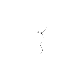 [NH]C(=O)OCCF